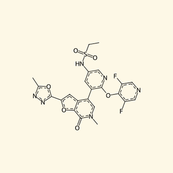 CCS(=O)(=O)Nc1cnc(Oc2c(F)cncc2F)c(-c2cn(C)c(=O)c3oc(-c4nnc(C)o4)cc23)c1